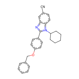 N#Cc1ccc2c(c1)nc(-c1ccc(OCc3ccccc3)cc1)n2C1CCCCC1